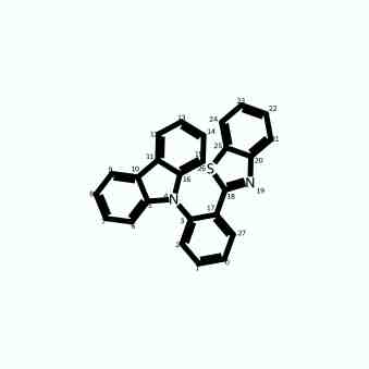 c1ccc(-n2c3ccccc3c3ccccc32)c(-c2nc3ccccc3s2)c1